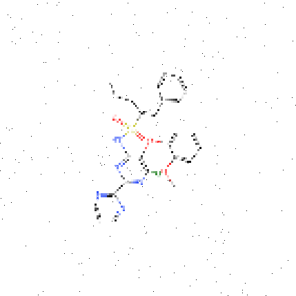 CCC/C(=C\c1ccccc1)S(=O)(=O)Nc1nc(-c2ncccn2)nc(Cl)c1Oc1ccccc1OC